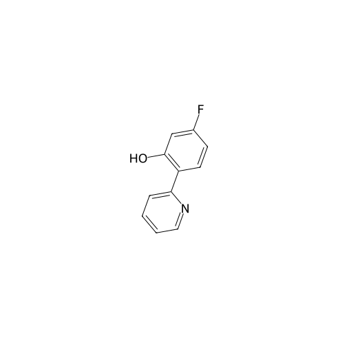 Oc1cc(F)ccc1-c1ccccn1